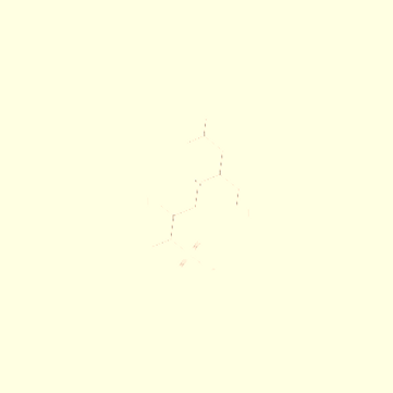 CC(C)CC(CO)NCC(O)C(O)S(=O)(=O)O